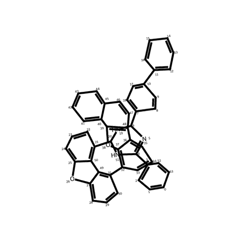 c1ccc(C2=NC(c3ccc(-c4ccccc4)cc3)NC(c3cccc4oc5cccc(-c6cccc7c6oc6c8ccccc8ccc76)c5c34)N2)cc1